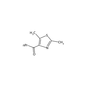 CCCC(=O)c1nc(C)sc1C